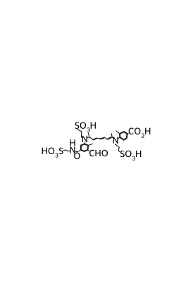 C\C(=C/C=C/C=C/C(C)N(CCCS(=O)(=O)O)c1cc(C(=O)NCCS(=O)(=O)O)cc(C=O)c1C)N(CCCS(=O)(=O)O)c1ccc(C(=O)O)cc1C